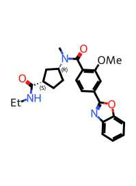 CCNC(=O)[C@H]1CC[C@@H](N(C)C(=O)c2ccc(-c3nc4ccccc4o3)cc2OC)C1